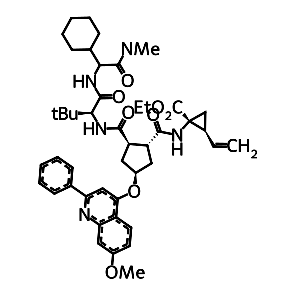 C=C[C@@H]1C[C@]1(NC(=O)[C@@H]1C[C@@H](Oc2cc(-c3ccccc3)nc3cc(OC)ccc23)C[C@H]1C(=O)N[C@H](C(=O)NC(C(=O)NC)C1CCCCC1)C(C)(C)C)C(=O)OCC